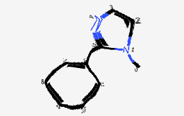 Cn1c[c]nc1-c1ccccc1